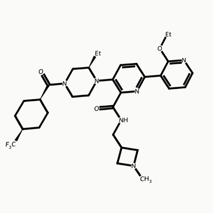 CCOc1ncccc1-c1ccc(N2CCN(C(=O)[C@H]3CC[C@@H](C(F)(F)F)CC3)C[C@H]2CC)c(C(=O)NCC2CN(C)C2)n1